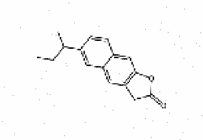 CCC(C)c1ccc2cc3c(cc2c1)CC(=O)O3